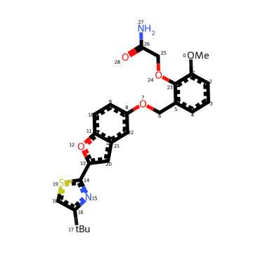 COc1cccc(COc2ccc3oc(-c4nc(C(C)(C)C)cs4)cc3c2)c1OCC(N)=O